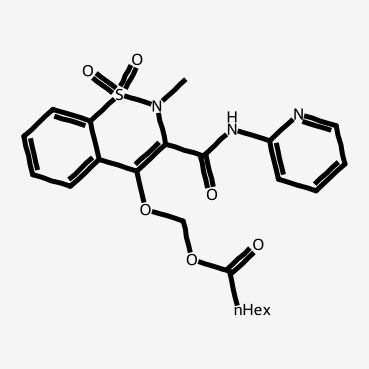 CCCCCCC(=O)OCOC1=C(C(=O)Nc2ccccn2)N(C)S(=O)(=O)c2ccccc21